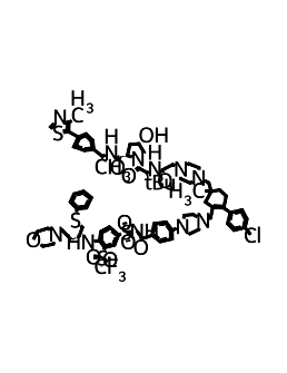 Cc1ncsc1-c1ccc([C@H](C)NC(=O)[C@@H]2C[C@@H](O)CN2C(=O)[C@@H](NC(=O)CN2CCN(CC3(C)CCC(c4ccc(Cl)cc4)=C(CN4CCN(c5ccc(C(=O)NS(=O)(=O)c6ccc(N[C@H](CCN7CCOCC7)CSc7ccccc7)c(S(=O)(=O)C(F)(F)F)c6)cc5)CC4)C3)CC2)C(C)(C)C)cc1